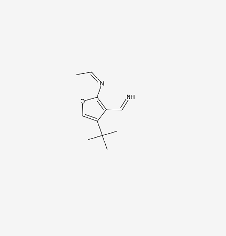 C/C=N\c1occ(C(C)(C)C)c1C=N